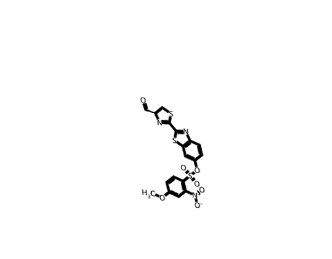 COc1ccc(S(=O)(=O)Oc2ccc3nc(C4=N[C@@H](C=O)CS4)sc3c2)c([N+](=O)[O-])c1